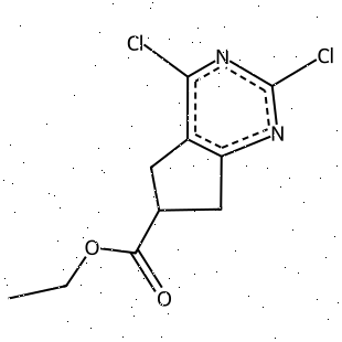 CCOC(=O)C1Cc2nc(Cl)nc(Cl)c2C1